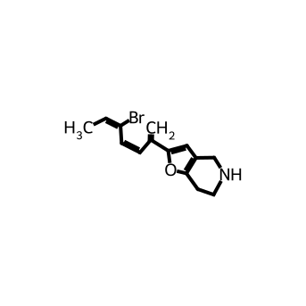 C=C(/C=C\C(Br)=C/C)c1cc2c(o1)CCNC2